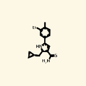 Cc1ccc(-c2cc(C(N)=S)c(CC3CC3)[nH]2)cc1Br